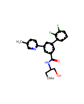 COCC(CO)NC(=O)c1cc(-c2ccc(C)cn2)cc(-c2cccc(F)c2F)c1